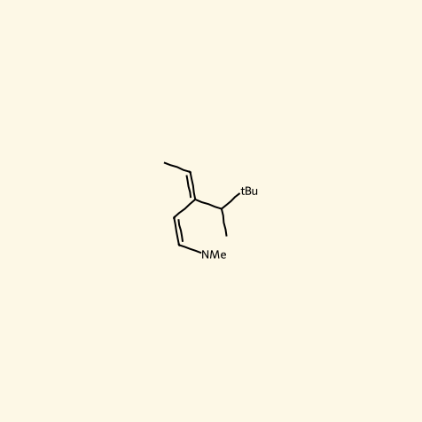 C/C=C(\C=C/NC)C(C)C(C)(C)C